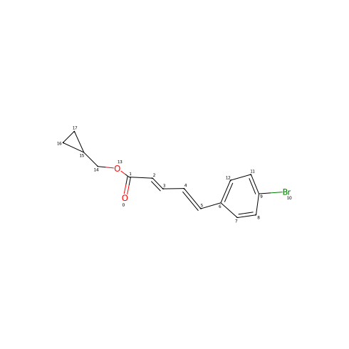 O=C(C=CC=Cc1ccc(Br)cc1)OCC1CC1